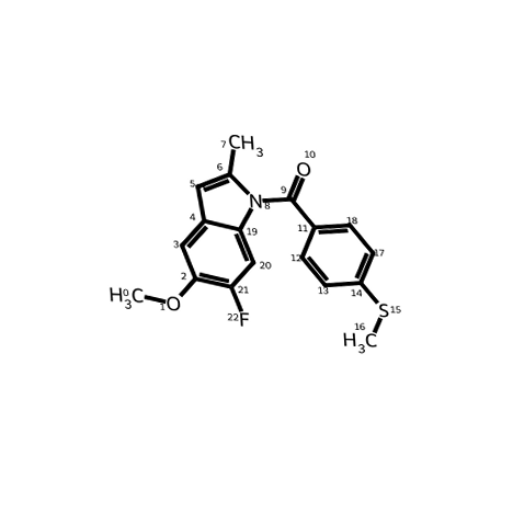 COc1cc2[c]c(C)n(C(=O)c3ccc(SC)cc3)c2cc1F